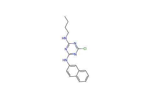 CCCCNc1nc(Cl)nc(Nc2ccc3ccccc3c2)n1